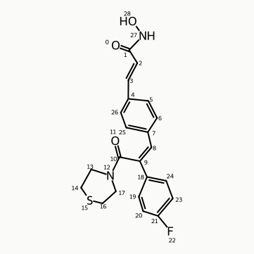 O=C(/C=C/c1ccc(C=C(C(=O)N2CCSCC2)c2ccc(F)cc2)cc1)NO